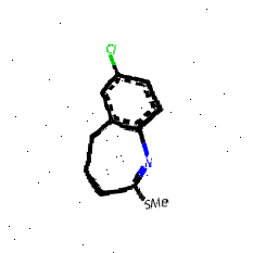 CSC1=Nc2ccc(Cl)cc2CCC1